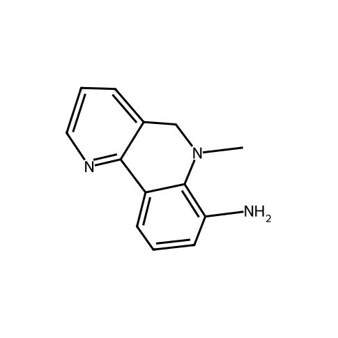 CN1Cc2cccnc2-c2cccc(N)c21